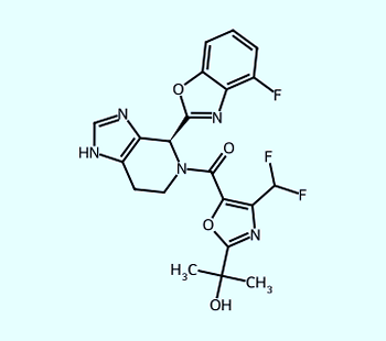 CC(C)(O)c1nc(C(F)F)c(C(=O)N2CCc3[nH]cnc3[C@H]2c2nc3c(F)cccc3o2)o1